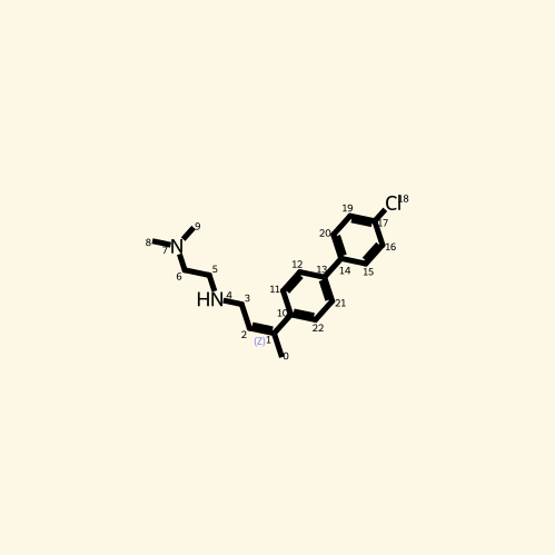 C/C(=C/CNCCN(C)C)c1ccc(-c2ccc(Cl)cc2)cc1